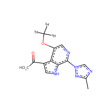 [2H]C([2H])([2H])Oc1cnc(-n2cnc(C)n2)c2[nH]cc(C(=O)C(=O)O)c12